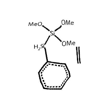 C=C.CO[Si](OC)(OC)[SiH2]c1ccccc1